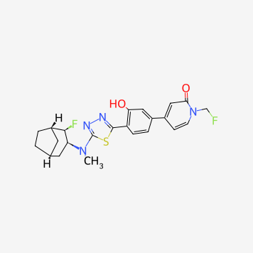 CN(c1nnc(-c2ccc(-c3ccn(CF)c(=O)c3)cc2O)s1)[C@H]1C[C@@H]2CC[C@@H](C2)[C@H]1F